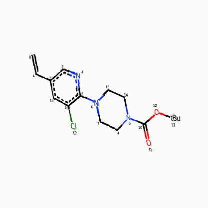 C=Cc1cnc(N2CCN(C(=O)OC(C)(C)C)CC2)c(Cl)c1